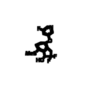 CSc1ccc(Oc2cncc(F)c2)c2c1C(O)C(F)(F)C2